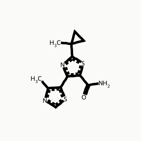 Cc1n[c]sc1-c1nc(C2(C)CC2)sc1C(N)=O